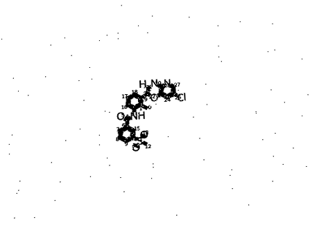 Cc1c(NC(=O)c2cccc(S(C)(=O)=O)c2)cccc1C(C)Oc1cc(Cl)cnc1N